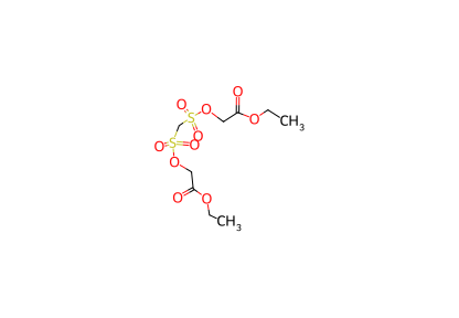 CCOC(=O)COS(=O)(=O)CS(=O)(=O)OCC(=O)OCC